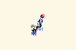 Cc1c(-c2[nH]c3ccc(N4CCN(C5CCOC5)C[C@@H]4C)nc3c2C(C)C)cn2ncnc2c1C